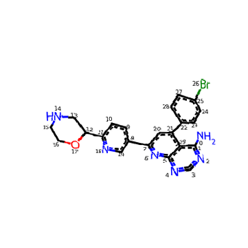 Nc1ncnc2nc(-c3ccc(C4CNCCO4)nc3)cc(-c3ccc(Br)cc3)c12